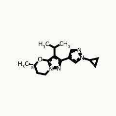 CC(C)c1c(-c2cnn(C3CC3)c2)nn2c1O[C@H](C)CC2